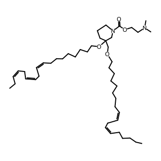 CC/C=C\C/C=C\C/C=C\CCCCCCCCOC1(COCCCCCCCC/C=C\C/C=C\CCCCC)CCCN(C(=O)OCCN(C)C)C1